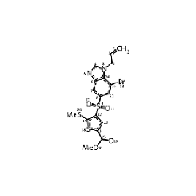 C=CCn1cnc2cc(S(=O)(=O)c3cc(C(=O)OC)sc3SC)cc(Br)c21